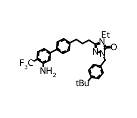 CCn1c(CCCc2ccc(-c3ccc(C(F)(F)F)c(N)c3)cc2)nn(Cc2ccc(C(C)(C)C)cc2)c1=O